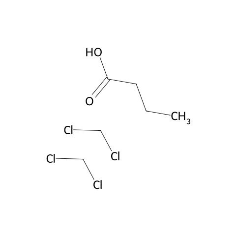 CCCC(=O)O.ClCCl.ClCCl